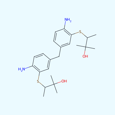 CC(Sc1cc(Cc2ccc(N)c(SC(C)C(C)(C)O)c2)ccc1N)C(C)(C)O